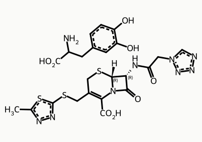 Cc1nnc(SCC2=C(C(=O)O)N3C(=O)[C@@H](NC(=O)Cn4cnnn4)[C@H]3SC2)s1.NC(Cc1ccc(O)c(O)c1)C(=O)O